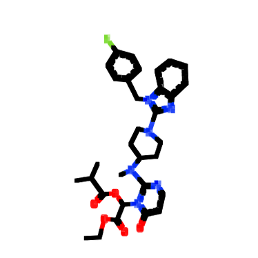 CCOC(=O)C(OC(=O)C(C)C)n1c(N(C)C2CCN(c3nc4ccccc4n3Cc3ccc(F)cc3)CC2)nccc1=O